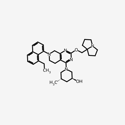 CCc1cccc2cccc(N3CCc4c(nc(OCC56CCCN5CCC6)nc4N4C[C@@H](C)C[C@H](O)C4)C3)c12